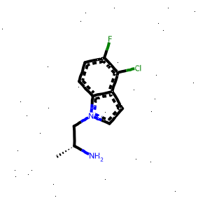 C[C@@H](N)Cn1ccc2c(Cl)c(F)ccc21